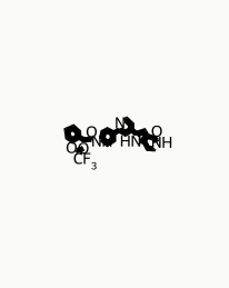 O=C1NCCc2[nH]c(-c3ccnc(-c4ccc(NC(=O)C(OC(=O)C(F)(F)F)c5ccccc5)cc4)c3)cc21